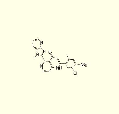 Cc1cc(C(C)(C)C)c(Cl)cc1-c1cc(=O)c2c(-c3nc4ncccc4n3C)nccc2[nH]1